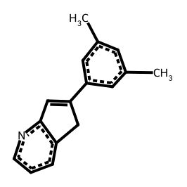 Cc1cc(C)cc(C2=Cc3ncccc3C2)c1